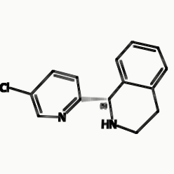 Clc1ccc([C@H]2NCCc3ccccc32)nc1